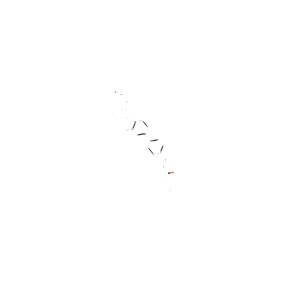 CCOC(=O)CCc1ccc(-c2ccc(S(=O)(=O)N(C)C[C@H]3CO3)c(CC)c2)cc1